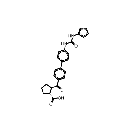 O=C(Nc1ccc(-c2ccc(C(=O)[C@@H]3CCC[C@H]3C(=O)O)cc2)cc1)Nc1cccs1